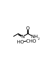 CC=NC(N)=O.O=CO